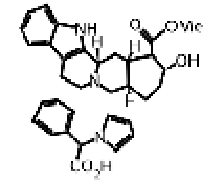 COC(=O)[C@@H]1[C@H]2C[C@H]3c4[nH]c5ccccc5c4CCN3C[C@@H]2CC[C@@H]1O.O=C(O)C(c1ccccc1)n1cccc1